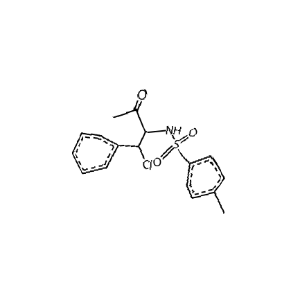 CC(=O)C(NS(=O)(=O)c1ccc(C)cc1)C(Cl)c1ccccc1